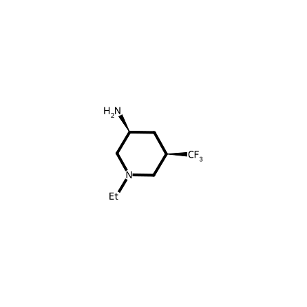 CCN1C[C@@H](N)C[C@@H](C(F)(F)F)C1